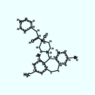 Cc1cc(Br)c2c(c1)CCc1cc(Br)cnc1C2N1CC[N+]([O-])(C(=O)Cc2ccncc2)CC1